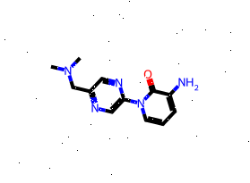 CN(C)Cc1cnc(-n2cccc(N)c2=O)cn1